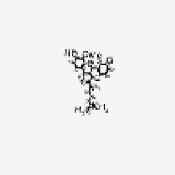 COc1cc(C(=O)c2c(C(=O)NCCCN(C)C)oc3ccc(Cl)cc3c2=O)ccc1O